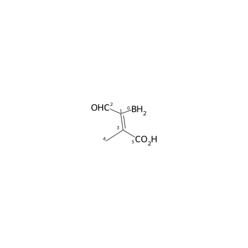 B/C(C=O)=C(/C)C(=O)O